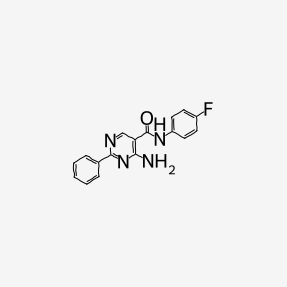 Nc1nc(-c2ccccc2)ncc1C(=O)Nc1ccc(F)cc1